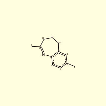 CC1=Nc2ccc(C)cc2CCC1